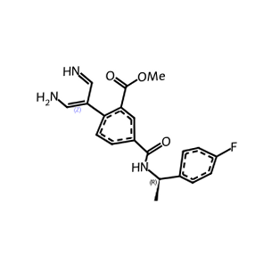 COC(=O)c1cc(C(=O)N[C@H](C)c2ccc(F)cc2)ccc1/C(C=N)=C/N